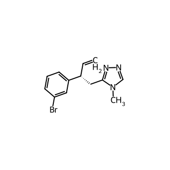 C=C[C@H](Cc1nncn1C)c1cccc(Br)c1